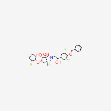 O[C@H](CN1C[C@H]2C[C@H](Oc3ccccc3F)[C@H](O)[C@@]2(O)C1)c1cc(F)c(OCc2ccccc2)c(F)c1